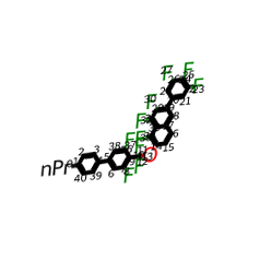 CCCc1ccc(-c2cc(F)c(C(F)(F)Oc3ccc4cc(-c5cc(F)c(F)c(F)c5)c(F)c(F)c4c3F)c(F)c2)cc1